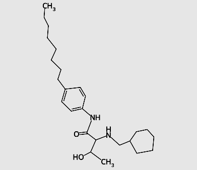 CCCCCCCCc1ccc(NC(=O)C(NCC2CCCCC2)C(C)O)cc1